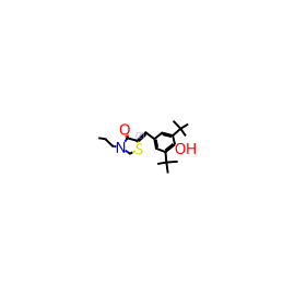 CCCN1CS/C(=C\c2cc(C(C)(C)C)c(O)c(C(C)(C)C)c2)C1=O